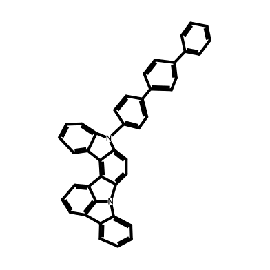 c1ccc(-c2ccc(-c3ccc(-n4c5ccccc5c5c6c7cccc8c9ccccc9n(c6ccc54)c87)cc3)cc2)cc1